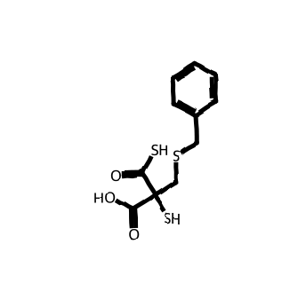 O=C(O)C(S)(CSCc1ccccc1)C(=O)S